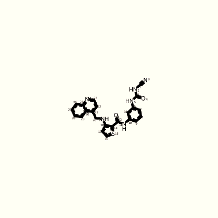 N#CNC(=O)Nc1cccc(NC(=O)c2sccc2NCc2ccnc3ccccc23)c1